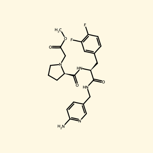 COC(=O)CN1CCC[C@@H]1C(=O)N[C@@H](Cc1ccc(F)c(F)c1)C(=O)NCc1ccc(N)nc1